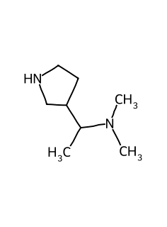 CC(C1CCNC1)N(C)C